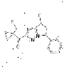 O=C(c1nc2n(n1)C(c1ccccc1)CC2F)C1(CF)CC1